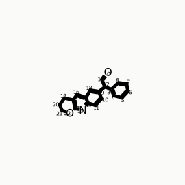 O=CC(c1ccccc1)c1ccc2nc3c(cc2c1)CCCO3